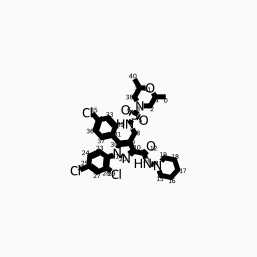 CC1CN(S(=O)(=O)NCc2c(C(=O)NN3CCCCC3)nn(-c3ccc(Cl)cc3Cl)c2-c2ccc(Cl)cc2)CC(C)O1